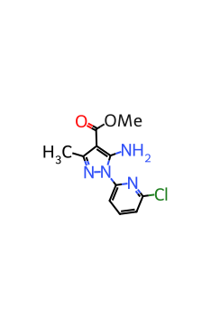 COC(=O)c1c(C)nn(-c2cccc(Cl)n2)c1N